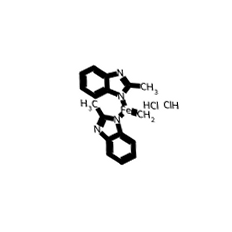 Cl.Cl.[CH2]=[Fe]([n]1c(C)nc2ccccc21)[n]1c(C)nc2ccccc21